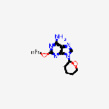 CCCOc1nc(N)c2ncn(C3CCCCO3)c2n1